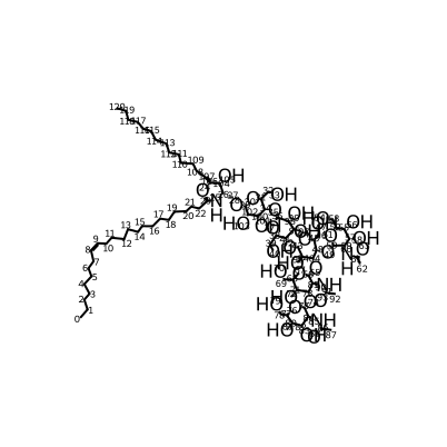 CCCCCCCC/C=C\CCCCCCCCCCCCCC(=O)N[C@@H](CO[C@@H]1OC(CO)[C@@H](O[C@@H]2OC(CO)[C@H](O[C@@H]3OC(CO)[C@H](O[C@@H]4OC(CO)[C@H](O)[C@H](O)C4NC(C)=O)[C@H](O[C@@H]4OC(CO)[C@H](O)[C@H](O[C@H]5OC(CO)[C@H](O)[C@H](O)C5NC(C)=O)C4NC(C)=O)C3O)[C@H](O)C2O)[C@H](O)C1O)[C@H](O)/C=C/CCCCCCCCCCCCC